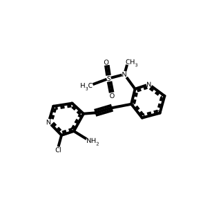 CN(c1ncccc1C#Cc1ccnc(Cl)c1N)S(C)(=O)=O